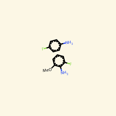 COc1cccc(F)c1N.Nc1ccc(F)cc1